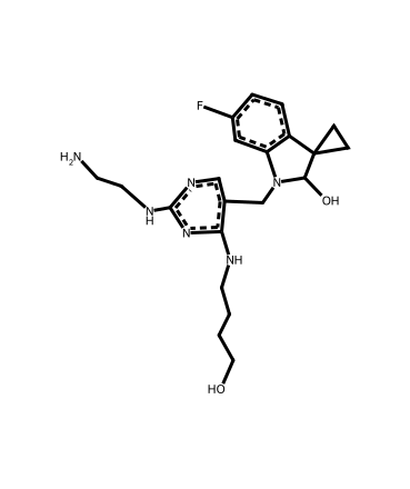 NCCNc1ncc(CN2c3cc(F)ccc3C3(CC3)C2O)c(NCCCCO)n1